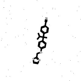 CC(C)C(C)(c1ccc(C#N)cc1)c1ccc(OCc2nccs2)cc1